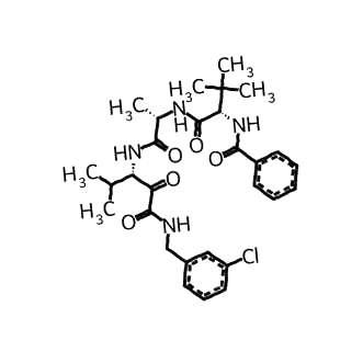 CC(C)[C@H](NC(=O)[C@H](C)NC(=O)[C@@H](NC(=O)c1ccccc1)C(C)(C)C)C(=O)C(=O)NCc1cccc(Cl)c1